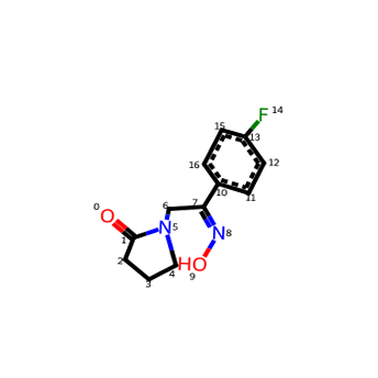 O=C1CCCN1CC(=NO)c1ccc(F)cc1